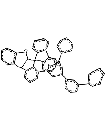 c1ccc(-c2cccc(-c3cc(-c4cccc5c4C4(c6ccccc6-c6ccccc64)C4Oc6ccccc6C54)nc(-c4ccccc4)n3)c2)cc1